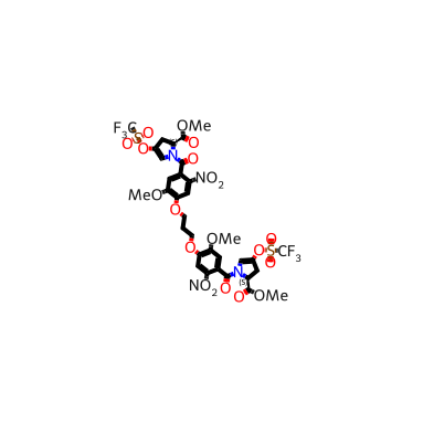 COC(=O)[C@@H]1CC(OS(=O)(=O)C(F)(F)F)=CN1C(=O)c1cc(OC)c(OCCCOc2cc([N+](=O)[O-])c(C(=O)N3C=C(OS(=O)(=O)C(F)(F)F)C[C@H]3C(=O)OC)cc2OC)cc1[N+](=O)[O-]